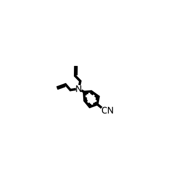 C=CCN(CC=C)c1ccc(C#N)cc1